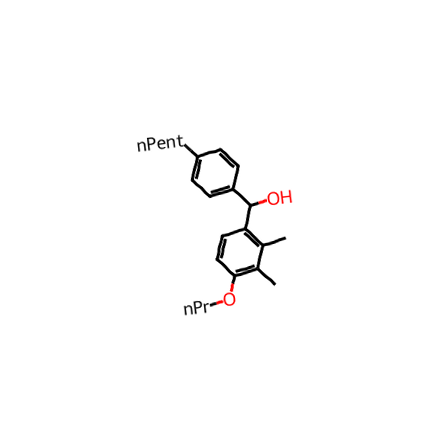 CCCCCc1ccc(C(O)c2ccc(OCCC)c(C)c2C)cc1